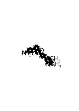 Cc1cn(-c2ccc(N3CC(C)N(S(C)(=O)=O)C(C)C3)cc2)c(=O)c2cccc(-c3ccc(C#N)cc3)c12